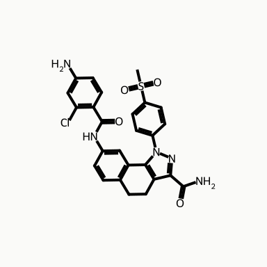 CS(=O)(=O)c1ccc(-n2nc(C(N)=O)c3c2-c2cc(NC(=O)c4ccc(N)cc4Cl)ccc2CC3)cc1